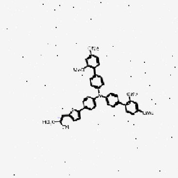 COc1ccc(-c2ccc(N(c3ccc(-c4ccc(/C=C(\C#N)C(=O)O)s4)cc3)c3ccc(-c4ccc(OC)cc4OC)cc3)cc2)c(OC)c1